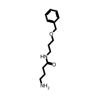 NCCCC(=O)NCCCOCc1ccccc1